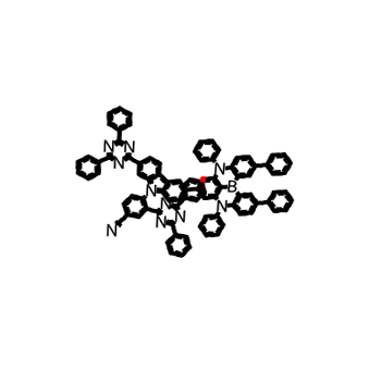 N#Cc1ccc(-n2c3ccc(-c4cc5c6c(c4)N(c4ccccc4)c4ccc(-c7ccccc7)cc4B6c4cc(-c6ccccc6)ccc4N5c4ccccc4)cc3c3ccc(-c4nc(-c5ccccc5)nc(-c5ccccc5)n4)cc32)c(-c2nc(-c3ccccc3)nc(-c3ccccc3)n2)c1